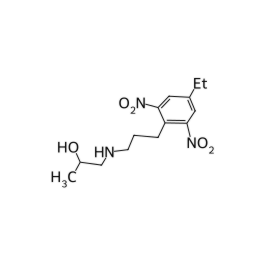 CCc1cc([N+](=O)[O-])c(CCCNCC(C)O)c([N+](=O)[O-])c1